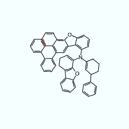 C1=C(N(C2=CCCc3c2oc2ccccc32)c2cccc3oc4c5ccccc5c(-c5ccccc5-c5ccccc5)cc4c23)CCCC1c1ccccc1